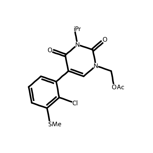 CSc1cccc(-c2cn(COC(C)=O)c(=O)n(C(C)C)c2=O)c1Cl